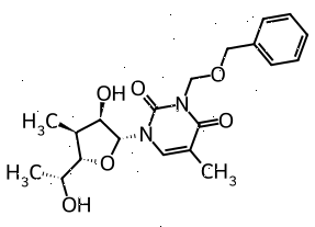 Cc1cn([C@@H]2O[C@H]([C@@H](C)O)[C@@H](C)[C@H]2O)c(=O)n(COCc2ccccc2)c1=O